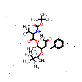 CC(=O)[C@H](Cc1ccccc1)[C@@H](O[Si](C)(C)C(C)(C)C)[C@H](C)OC(=O)C(NC(=O)OC(C)(C)C)C(C)C